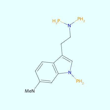 CNc1ccc2c(CCN(P)P)cn(P)c2c1